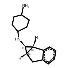 NC1CCC(N[C@@H]2[C@H]3Cc4ccccc4[C@H]32)CC1